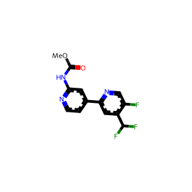 COC(=O)Nc1cc(-c2cc(C(F)F)c(F)cn2)ccn1